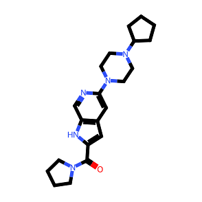 O=C(c1cc2cc(N3CCN(C4CCCC4)CC3)ncc2[nH]1)N1CCCC1